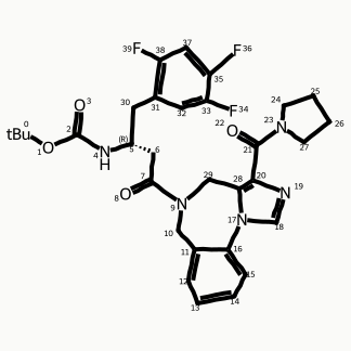 CC(C)(C)OC(=O)N[C@@H](CC(=O)N1Cc2ccccc2-n2cnc(C(=O)N3CCCC3)c2C1)Cc1cc(F)c(F)cc1F